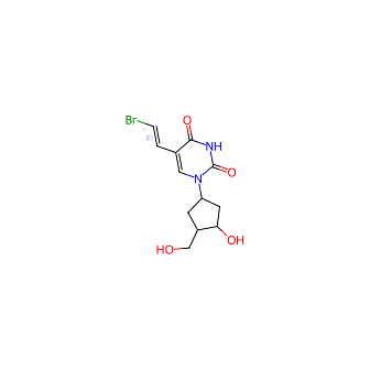 O=c1[nH]c(=O)n(C2CC(O)C(CO)C2)cc1/C=C/Br